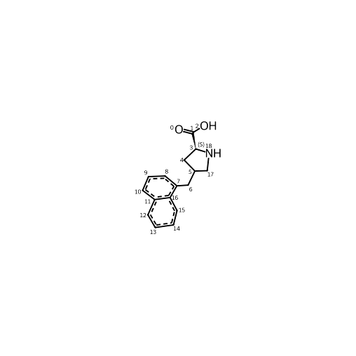 O=C(O)[C@@H]1CC(Cc2cccc3ccccc23)CN1